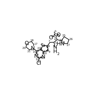 CS(=O)(=O)C(C(N)Cc1cc2nc(Cl)nc(N3CCOCC3)c2s1)C1CCCN1